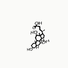 C[C@H](CCC(=O)O)C1CCC2[C@@H]3C(C[C@@H](O)C21C)C1(C)CC[C@@H](O)C[C@H]1C[C@@H]3O